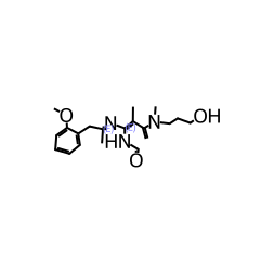 C=C(/C(C)=C(/N=C(\C)Cc1ccccc1OC)NC=O)N(C)CCCO